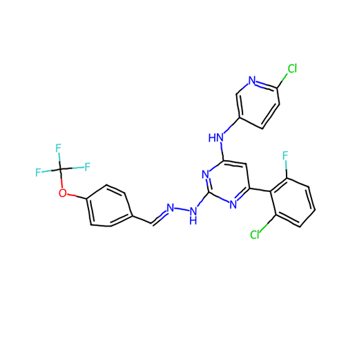 Fc1cccc(Cl)c1-c1cc(Nc2ccc(Cl)nc2)nc(NN=Cc2ccc(OC(F)(F)F)cc2)n1